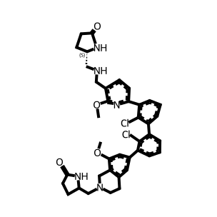 COc1cc(-c2cccc(-c3cccc(-c4ccc(CNC[C@@H]5CCC(=O)N5)c(OC)n4)c3Cl)c2Cl)cc2c1CN(CC1CCC(=O)N1)CC2